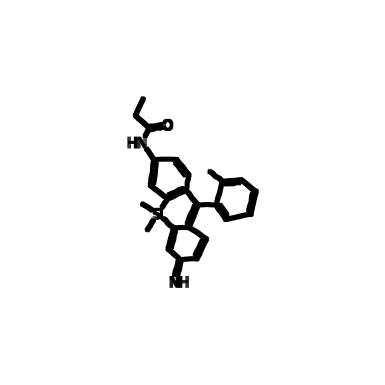 CCC(=O)Nc1ccc2c(c1)[Si](C)(C)C1=CC(=N)C=CC1=C2c1ccccc1C